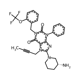 CC#CCn1c(N2CCC[C@@H](N)C2)nc2c1c(=O)n(Cc1ccccc1OC(F)(F)F)c(=O)n2-c1ccccc1